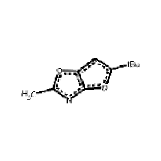 Cc1nc2oc(C(C)(C)C)cc2o1